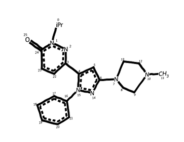 CC(C)n1nc(-c2cc(N3CCN(C)CC3)nn2-c2ccccc2)ccc1=O